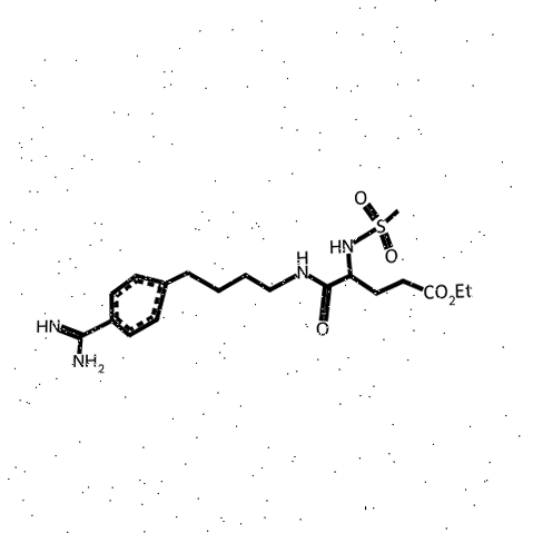 CCOC(=O)CCC(NS(C)(=O)=O)C(=O)NCCCCc1ccc(C(=N)N)cc1